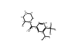 CC(C)c1cc(C(=O)N2CCOCC2C)cnc1C(C)(C)C